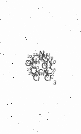 CC(c1ccc(C(F)(F)F)cc1)N1CCn2nc3c(c2C1=O)CN(C(=O)c1ccc(Cl)c(C#N)c1)[C@H](C)C3